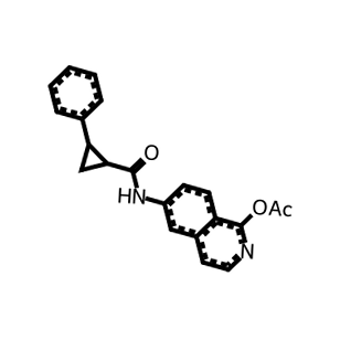 CC(=O)Oc1nccc2cc(NC(=O)C3CC3c3ccccc3)ccc12